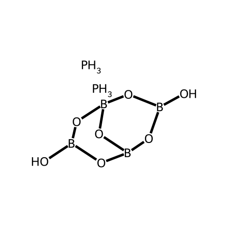 OB1OB2OB(O)OB(O1)O2.P.P